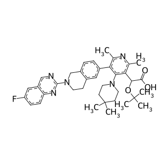 Cc1nc(C)c(C(OC(C)(C)C)C(=O)O)c(N2CCC(C)(C)CC2)c1-c1ccc2c(c1)CCN(c1ncc3cc(F)ccc3n1)C2